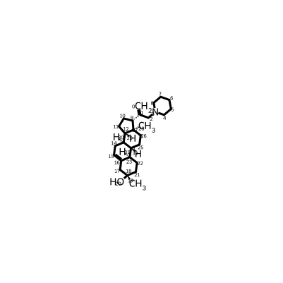 C=C(CN1CCCCC1)[C@H]1CC[C@H]2[C@@H]3CC=C4C[C@@](C)(O)CC[C@@H]4[C@H]3CC[C@]12C